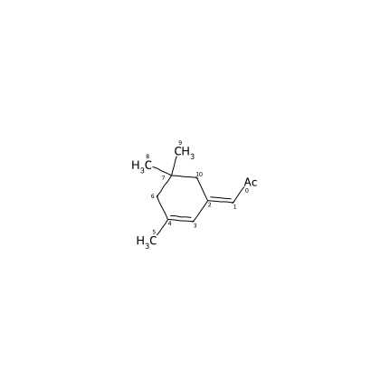 CC(=O)/C=C1/C=C(C)CC(C)(C)C1